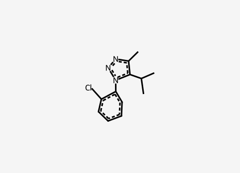 Cc1nnn(-c2ccccc2Cl)c1C(C)C